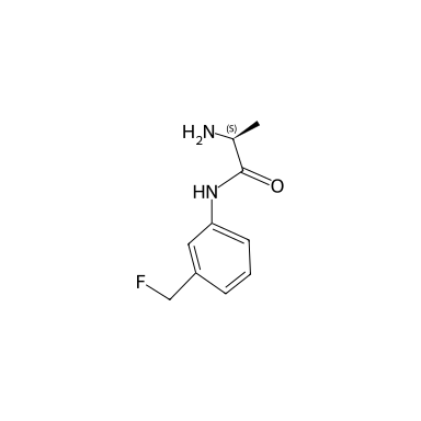 C[C@H](N)C(=O)Nc1cccc(CF)c1